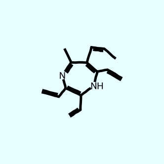 C=CC1=C(C=C)NC(C=C)=C(/C=C\C)C(C)=N1